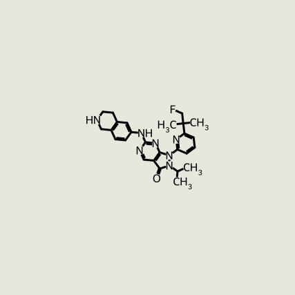 CC(C)n1c(=O)c2cnc(Nc3ccc4c(c3)CCNC4)nc2n1-c1cccc(C(C)(C)CF)n1